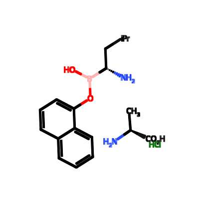 CC(C)C[C@H](N)B(O)Oc1cccc2ccccc12.C[C@H](N)C(=O)O.Cl